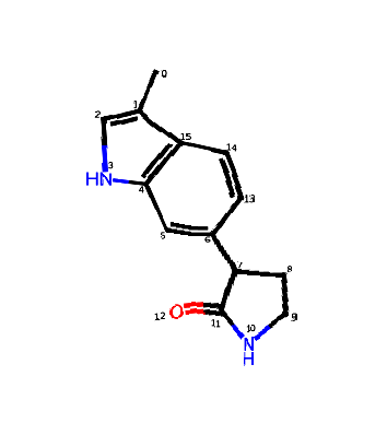 Cc1c[nH]c2cc(C3CCNC3=O)ccc12